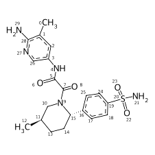 Cc1cc(NC(=O)C(=O)N2C[C@H](C)CC[C@H]2c2ccc(S(N)(=O)=O)cc2)cnc1N